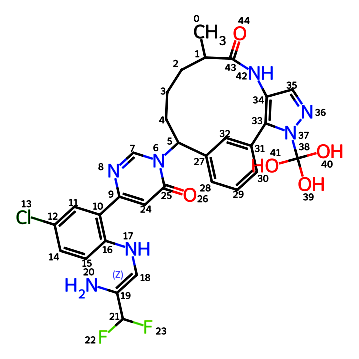 CC1CCCC(n2cnc(-c3cc(Cl)ccc3N/C=C(\N)C(F)F)cc2=O)c2cccc(c2)-c2c(cnn2C(O)(O)O)NC1=O